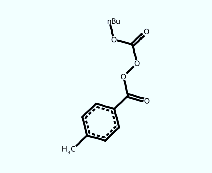 CCCCOC(=O)OOC(=O)c1ccc(C)cc1